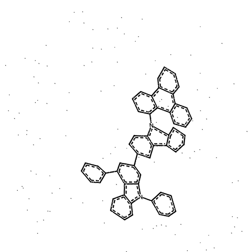 c1ccc(-c2cc(-c3ccc4c(c3)c3ccccc3n4-c3cccc4c5ccccc5c5ccccc5c34)cc3c2c2ccccc2n3-c2ccccc2)cc1